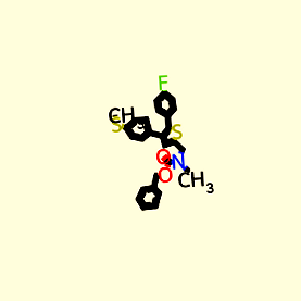 CCN(Cc1cc(-c2ccc(SC)cc2)c(-c2ccc(F)cc2)s1)C(=O)OCc1ccccc1